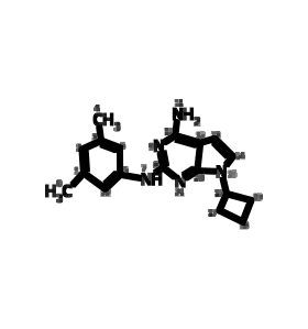 Cc1cc(C)cc(Nc2nc(N)c3ccn(C4CCC4)c3n2)c1